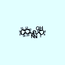 Oc1ccccc1-c1nnc(-c2ccc3ccccc3c2)o1